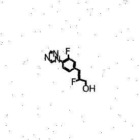 OCC(F)=Cc1ccc(-n2cncn2)c(F)c1